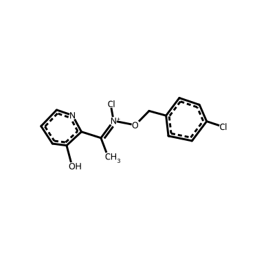 CC(c1ncccc1O)=[N+](Cl)OCc1ccc(Cl)cc1